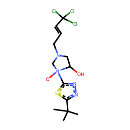 CC(C)(C)c1nnc([N+]2([O-])CN(CC=CC(Cl)(Cl)Cl)CC2O)s1